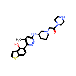 Cc1cc(N[C@@H]2CCCN(CC(=O)N3CCNCC3)C2)nnc1-c1ccc2sccc2c1O